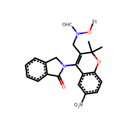 CCON(C=O)CC1=C(N2Cc3ccccc3C2=O)c2cc([N+](=O)[O-])ccc2OC1(C)C